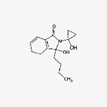 CCCCC1(O)C2=C(C=CCC2)C(=O)N1C1(O)CC1